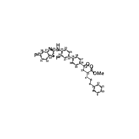 COC(=O)C(CCCc1ccccc1)CC(=O)c1ccc(-c2ccc(Nc3nc4cc(F)ccc4s3)c(F)c2)cc1